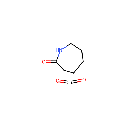 O=C1CCCCCN1.[O]=[Ti]=[O]